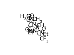 CCn1c(C(F)(F)F)cc2nc(-c3nc(N(C)S(C)(=O)=O)ccc3S(=O)(=O)CC)n(C)c2c1=O